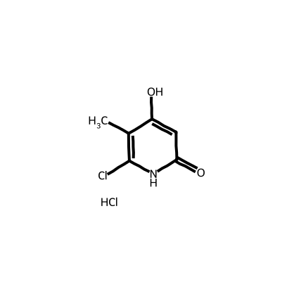 Cc1c(O)cc(=O)[nH]c1Cl.Cl